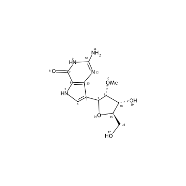 CO[C@H]1C(c2c[nH]c3c(=O)[nH]c(N)nc23)O[C@H](CO)[C@H]1O